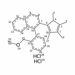 CC1=C(C)C(C)C(c2ccc3ccccc3c2-c2ccccc2C[O][Ti])=C1C.Cl.Cl